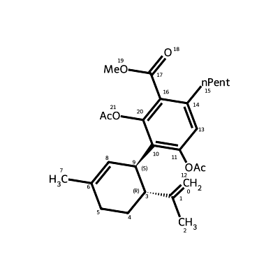 C=C(C)[C@@H]1CCC(C)=C[C@H]1c1c(OC(C)=O)cc(CCCCC)c(C(=O)OC)c1OC(C)=O